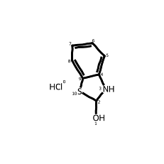 Cl.OC1Nc2ccccc2S1